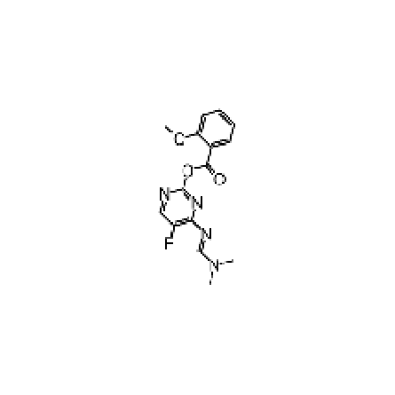 COc1ccccc1C(=O)Oc1ncc(F)c(/N=C/N(C)C)n1